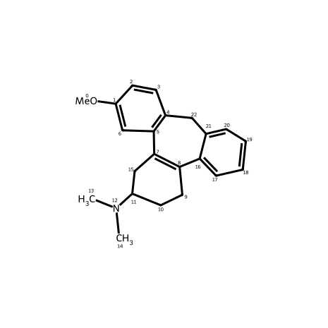 COc1ccc2c(c1)C1=C(CCC(N(C)C)C1)c1ccccc1C2